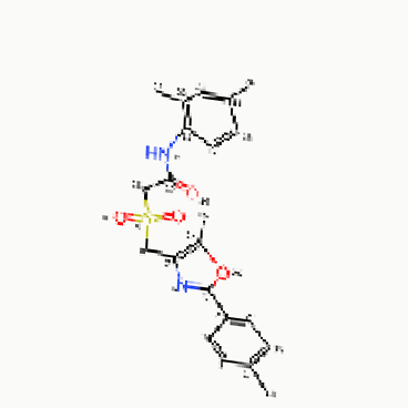 Cc1ccc(-c2nc(CS(=O)(=O)CC(=O)Nc3ccc(C)cc3C)c(C)o2)cc1